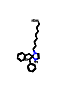 CCCCCCCCCCCCCCCCCCN1C=CN(C(C)C)C1(Cc1ccccc1)C(CC)c1ccccc1